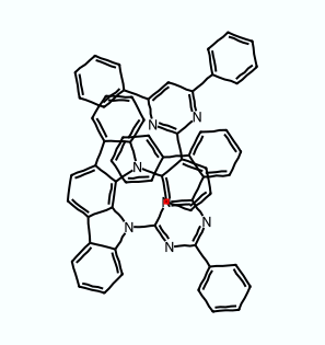 c1ccc(-c2cc(-c3ccccc3)nc(-c3ccccc3-n3c4ccccc4c4ccc5c6ccccc6n(-c6nc(-c7ccccc7)nc(-c7ccccc7-c7ccccc7)n6)c5c43)n2)cc1